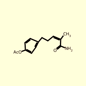 CC(=O)Oc1ccc(CCC=C(C)C(N)=O)cc1